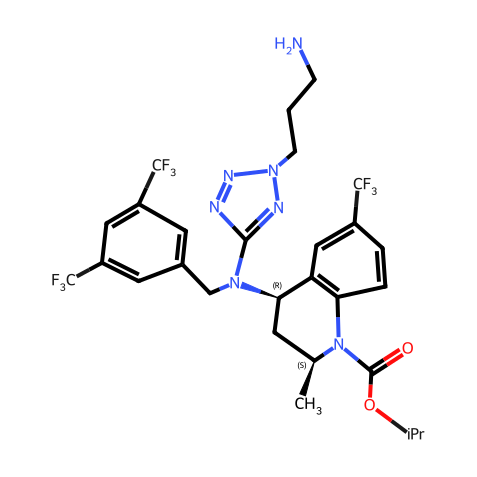 CC(C)OC(=O)N1c2ccc(C(F)(F)F)cc2[C@H](N(Cc2cc(C(F)(F)F)cc(C(F)(F)F)c2)c2nnn(CCCN)n2)C[C@@H]1C